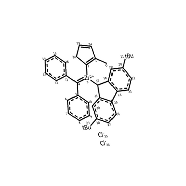 CC1=[C]([Zr+2](=[C](c2ccccc2)c2ccccc2)[CH]2c3cc(C(C)(C)C)ccc3-c3ccc(C(C)(C)C)cc32)CC=C1.[Cl-].[Cl-]